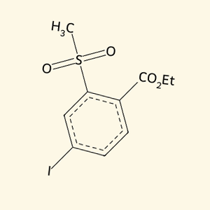 CCOC(=O)c1ccc(I)cc1S(C)(=O)=O